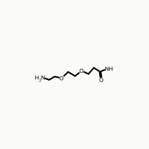 [NH]C(=O)CCOCCOCCN